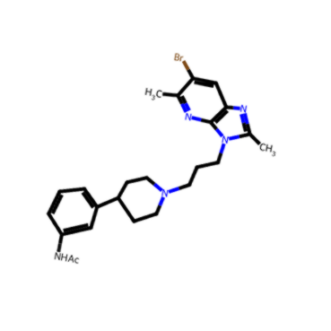 CC(=O)Nc1cccc(C2CCN(CCCn3c(C)nc4cc(Br)c(C)nc43)CC2)c1